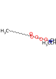 CCCCCCCCCCCCCCCC(=O)OCCOCCOCCOCC[N+](C)(C)C